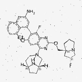 CCc1cccc2cc(N)cc(-c3c(Cl)cc4c(N5CC[C@H]6CC[C@@H](C5)N6)nc(OC[C@@]56CCCN5C[C@H](F)C6)nc4c3F)c12